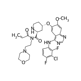 C=CC(=O)N(CCN1CCOCC1)C(=O)[C@@H]1C[C@@H](Oc2cc3c(Nc4ccc(F)c(Cl)c4F)ncnc3cc2OC)CCN1